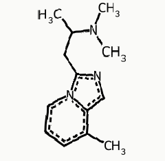 Cc1cccn2c(CC(C)N(C)C)ncc12